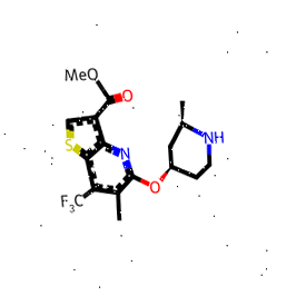 COC(=O)c1csc2c(C(F)(F)F)c(C)c(O[C@@H]3CCN[C@H](C)C3)nc12